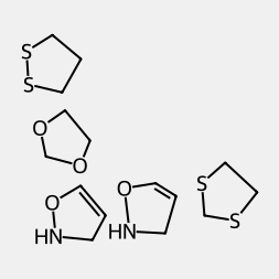 C1=CONC1.C1=CONC1.C1COCO1.C1CSCS1.C1CSSC1